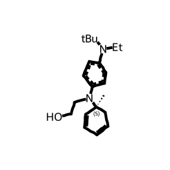 CCN(c1ccc(N(CCO)[C@]2(C)C=CC=CC2)cc1)C(C)(C)C